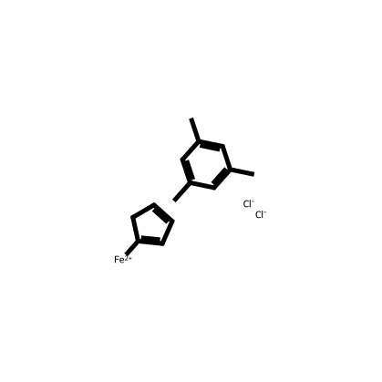 Cc1cc(C)cc(C)c1.[Cl-].[Cl-].[Fe+2][C]1=CC=CC1